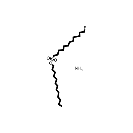 CCCCCCCCCCCCCOS(=O)(=O)CCCCCCCCCCCCF.N